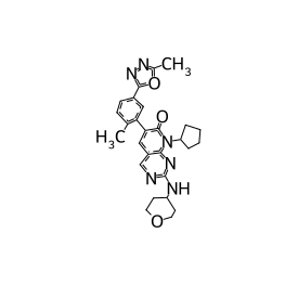 Cc1nnc(-c2ccc(C)c(-c3cc4cnc(NC5CCOCC5)nc4n(C4CCCC4)c3=O)c2)o1